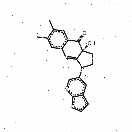 Cc1cc2c(cc1C)C(=O)[C@]1(O)CCN(c3cnc4sccc4c3)C1=N2